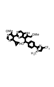 COCc1[nH]c2cnc(-c3c(OC)ncnc3C3CC3)nc2c1C(O)c1ccc(-c2nc(C(F)(F)F)cn2C)cc1